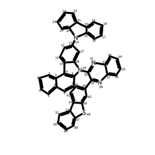 c1ccc2c(c1)ccc1c2c2ccc(-n3c4ccccc4c4ccccc43)cc2n1-c1nc2ccccc2nc1-c1ccc2c(c1)sc1ccccc12